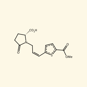 COC(=O)c1ccc(/C=C\CN2C(=O)CC[C@@H]2C(=O)O)s1